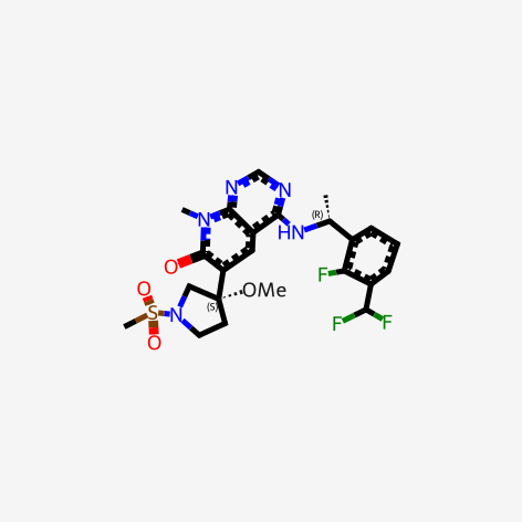 CO[C@]1(c2cc3c(N[C@H](C)c4cccc(C(F)F)c4F)ncnc3n(C)c2=O)CCN(S(C)(=O)=O)C1